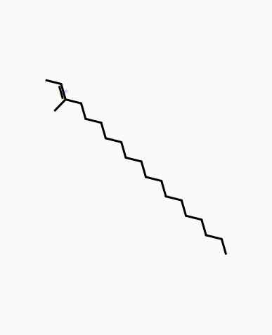 C/C=C(\C)CCCCCCCCCCCCCCCC